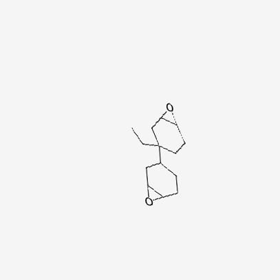 CCC1(C2CCC3OC3C2)CCC2OC2C1